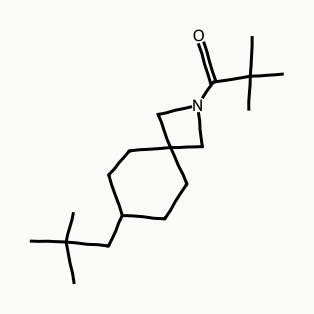 CC(C)(C)CC1CCC2(CC1)CN(C(=O)C(C)(C)C)C2